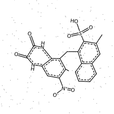 Cc1cc2ccccc2c(Cc2c(C)c([N+](=O)[O-])cc3[nH]c(=O)c(=O)[nH]c23)c1S(=O)(=O)O